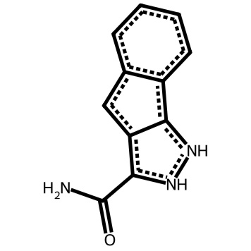 NC(=O)c1[nH][nH]c2c3ccccc3cc1-2